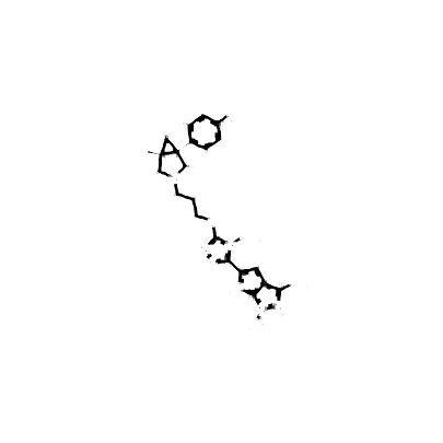 Cn1c(SCCCN2C[C@@H]3C[C@]3(c3ccc(Br)cc3)C2)nnc1-c1cc2c(C(F)(F)F)nn(C)c2s1